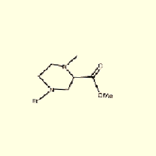 CCN1CCN(C)C(C(=O)OC)C1